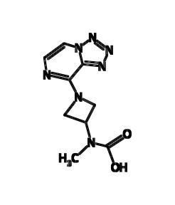 CN(C(=O)O)C1CN(c2nccn3nnnc23)C1